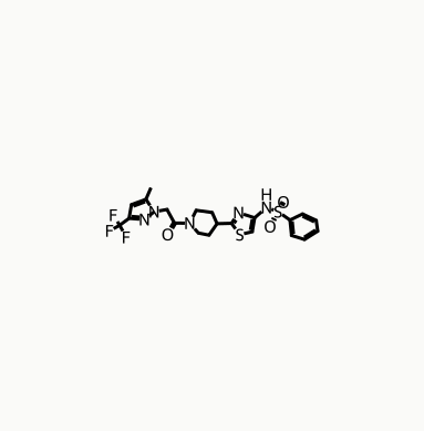 Cc1cc(C(F)(F)F)nn1CC(=O)N1CCC(c2nc(NS(=O)(=O)c3ccccc3)cs2)CC1